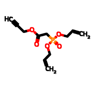 C#CCOC(=O)CP(=O)(OCC=C)OCC=C